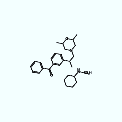 CC1CN(CC(C)c2cccc(C(=O)c3ccccc3)c2)CC(C)O1.O=S(=O)(O)NC1CCCCC1